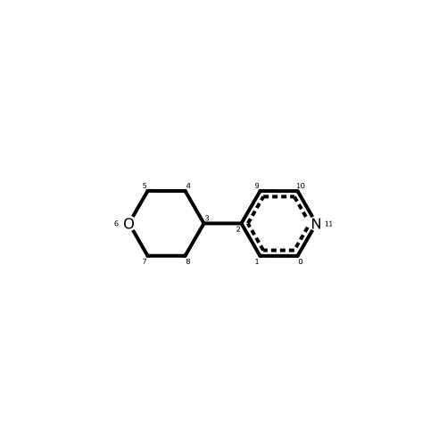 c1cc(C2CCOCC2)ccn1